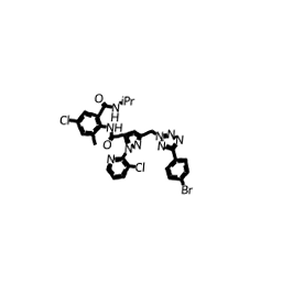 Cc1cc(Cl)cc(C(=O)NC(C)C)c1NC(=O)c1cc(Cn2nnc(-c3ccc(Br)cc3)n2)nn1-c1ncccc1Cl